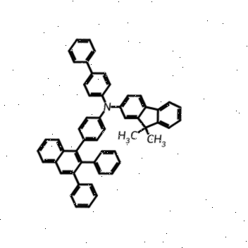 CC1(C)c2ccccc2-c2ccc(N(c3ccc(-c4ccccc4)cc3)c3ccc(-c4c(-c5ccccc5)c(-c5ccccc5)cc5ccccc45)cc3)cc21